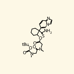 CN(CC(=O)OC1CCCCC1(C(N)=S)c1ccc2nccn2c1)C(=O)CN(C)C(=O)OC(C)(C)C